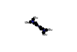 CC(C)(C)c1ccc(N(c2ccc(C(C)(C)C)cc2)c2ccc3c(c2)C(C)(C)c2cc(/C=C/c4ccc5c(c4)C(C)(C)c4cc(N(c6ccc(C(C)(C)C)cc6)c6ccc(C(C)(C)C)cc6)ccc4-5)ccc2-3)cc1